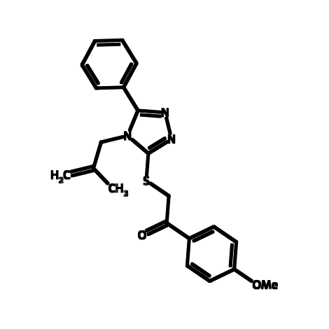 C=C(C)Cn1c(SCC(=O)c2ccc(OC)cc2)nnc1-c1ccccc1